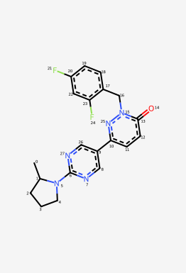 CC1CCCN1c1ncc(-c2ccc(=O)n(Cc3ccc(F)cc3F)n2)cn1